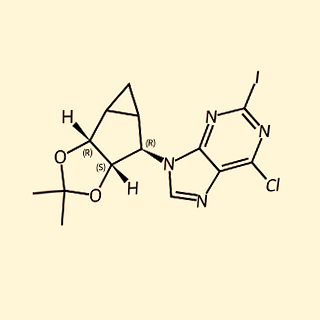 CC1(C)O[C@@H]2[C@H](O1)C1CC1[C@H]2n1cnc2c(Cl)nc(I)nc21